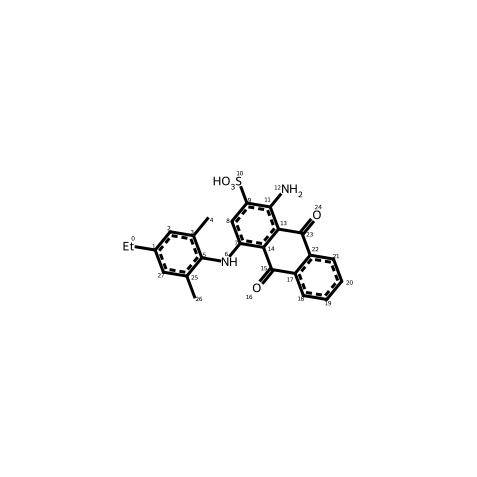 CCc1cc(C)c(Nc2cc(S(=O)(=O)O)c(N)c3c2C(=O)c2ccccc2C3=O)c(C)c1